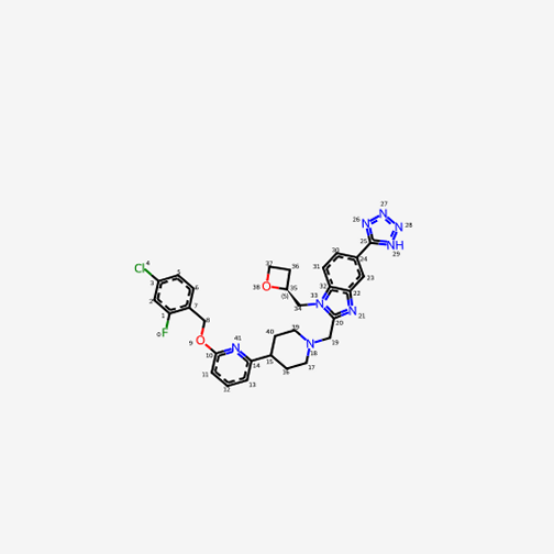 Fc1cc(Cl)ccc1COc1cccc(C2CCN(Cc3nc4cc(-c5nnn[nH]5)ccc4n3C[C@@H]3CCO3)CC2)n1